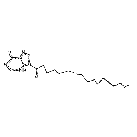 CCCCCCCCCCCCCCCC(=O)n1cnc2c(=O)nc[nH]c21